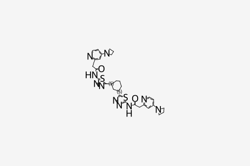 O=C(Cc1cc(N2CCC2)ccn1)Nc1nnc([C@H]2CCC[C@H](c3nnc(NC(=O)Cc4cc(N5CCC5)ccn4)s3)C2)s1